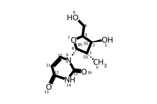 C[C@H]1[C@H](O)C(CO)O[C@H]1n1ccc(=O)[nH]c1=O